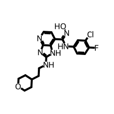 O/N=C(/Nc1ccc(F)c(Cl)c1)c1ccnc2nc(NCCC3CCOCC3)[nH]c12